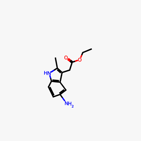 CCOC(=O)Cc1c(C)[nH]c2ccc(N)cc12